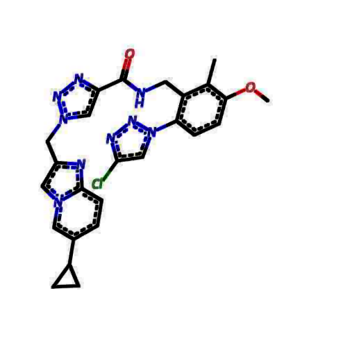 COc1ccc(-n2cc(Cl)nn2)c(CNC(=O)c2cn(Cc3cn4cc(C5CC5)ccc4n3)nn2)c1C